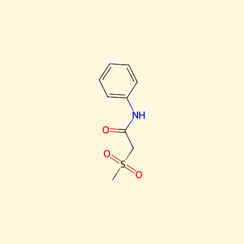 CS(=O)(=O)CC(=O)Nc1ccccc1